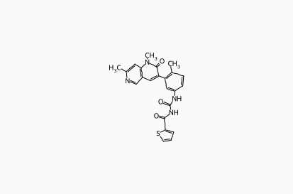 Cc1cc2c(cn1)cc(-c1cc(NC(=O)NC(=O)c3cccs3)ccc1C)c(=O)n2C